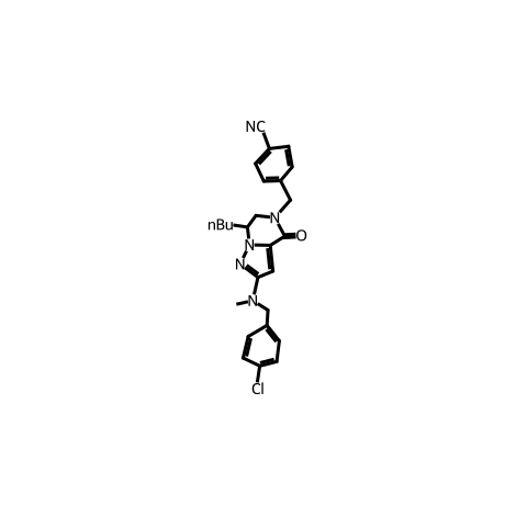 CCCCC1CN(Cc2ccc(C#N)cc2)C(=O)c2cc(N(C)Cc3ccc(Cl)cc3)nn21